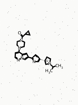 CC(C)N1CC[C@@H](c2ccc(-c3cc4c(N5CCN(C(=O)C6CC6)CC5)ccnn4c3)nc2)C1